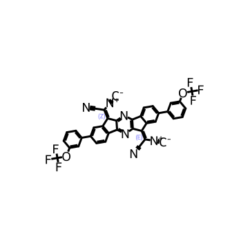 [C-]#[N+]/C(C#N)=C1/c2cc(-c3cccc(OC(F)(F)F)c3)ccc2-c2nc3c(nc21)-c1ccc(-c2cccc(OC(F)(F)F)c2)cc1/C3=C(/C#N)[N+]#[C-]